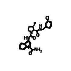 NC(=O)n1cc(NC(=O)N2CC[C@H](F)[C@H]2C(=O)NCc2cccc(Cl)c2)c2ccccc21